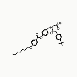 CCCCCCCOc1ccc(C(=O)Oc2ccc(CN(CC(=O)O)C(=O)Cc3ccc(C(C)(C)C)cc3)cc2)cc1